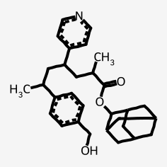 CC(CC(CC(C)c1ccc(CO)cc1)c1ccncc1)C(=O)OC1C2CC3CC(C2)CC1C3